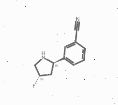 N#Cc1cccc([C@H]2C[C@H](F)CN2)c1